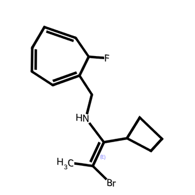 C/C(Br)=C(\NCC1=CC=CC=CC1F)C1CCC1